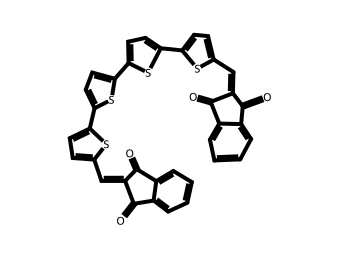 O=C1C(=Cc2ccc(-c3ccc(-c4ccc(-c5ccc(C=C6C(=O)c7ccccc7C6=O)s5)s4)s3)s2)C(=O)c2ccccc21